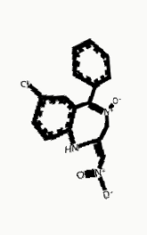 O=[N+]([O-])C=C1C[N+]([O-])=C(c2ccccc2)c2cc(Cl)ccc2N1